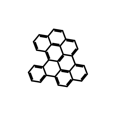 c1ccc2c(c1)c1ccc3cccc4c5ccc6ccc7cccc8c7c6c5c(c28)c1c34